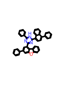 c1ccc(C2=NC(c3cc(-c4ccccc4)cc4oc5ccccc5c34)=NC(c3ccc(-c4ccccc4)c4ccccc34)N2)cc1